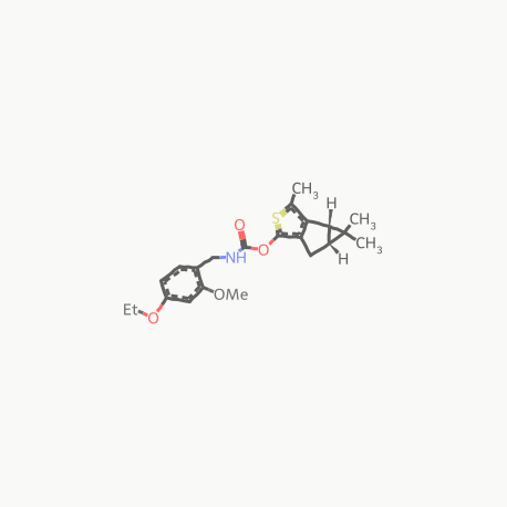 CCOc1ccc(CNC(=O)Oc2sc(C)c3c2C[C@@H]2[C@H]3C2(C)C)c(OC)c1